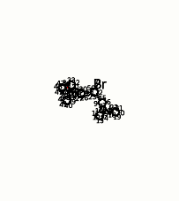 Brc1cc(-c2ccc3c(c2)c2ccccc2n3-c2ccccc2)cc(-c2ccc3c(c2)c2ccccc2n3-c2ccccc2-c2ccccc2)c1